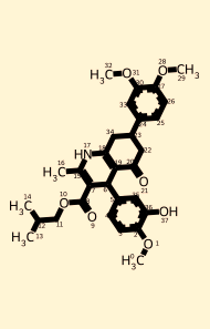 COc1ccc(C2C(C(=O)OCC(C)C)=C(C)NC3=C2C(=O)CC(c2ccc(OC)c(OC)c2)C3)cc1O